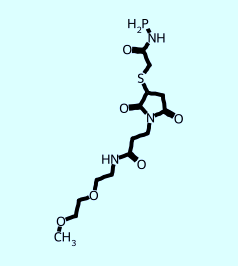 COCCOCCNC(=O)CCN1C(=O)CC(SCC(=O)NP)C1=O